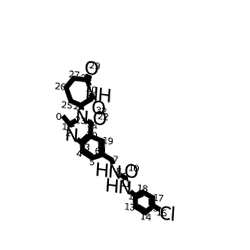 Cc1nc2ccc(CNC(=O)Nc3ccc(Cl)cc3)cc2c(=O)n1C1CCCC(=O)NC1=O